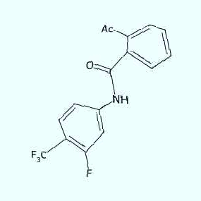 CC(=O)c1ccccc1C(=O)Nc1ccc(C(F)(F)F)c(F)c1